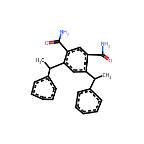 CC(c1ccccc1)c1cc(C(C)c2ccccc2)c(C(N)=O)cc1C(N)=O